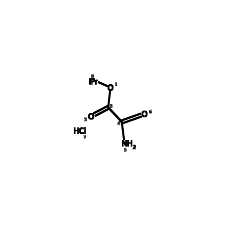 CC(C)OC(=O)C(N)=O.Cl